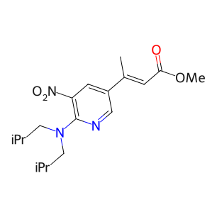 COC(=O)/C=C(\C)c1cnc(N(CC(C)C)CC(C)C)c([N+](=O)[O-])c1